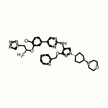 C[C@@H](Cn1cnnn1)Oc1cc(-c2cnc(Nc3cn([C@H]4CC[C@H](N5CCOCC5)CC4)nc3OCc3ccccn3)nc2)ccc1Cl